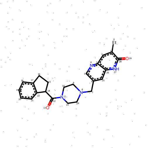 CCc1cc2ncc(CN3CCN(C(=O)C4CCc5ccccc54)CC3)cc2[nH]c1=O